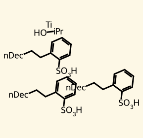 CC(C)O.CCCCCCCCCCCCc1ccccc1S(=O)(=O)O.CCCCCCCCCCCCc1ccccc1S(=O)(=O)O.CCCCCCCCCCCCc1ccccc1S(=O)(=O)O.[Ti]